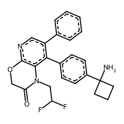 NC1(c2ccc(-c3c(-c4ccccc4)cnc4c3N(CC(F)F)C(=O)CO4)cc2)CCC1